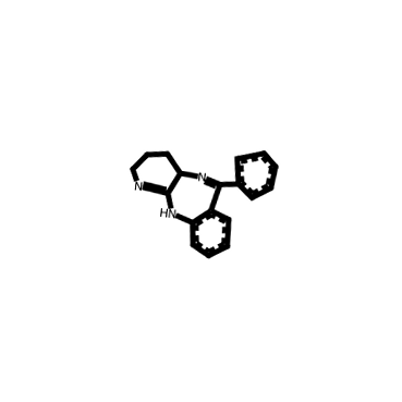 c1ccc(C2=NC3CCCN=C3Nc3ccccc32)cc1